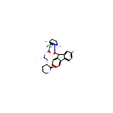 N#C[C@H](C[C@@H]1CCCNC1=O)NC(=O)[C@@H]1[C@@H]2CC[C@@H](CC2(F)F)N1C(=O)[C@]1(O)c2ccccc2-c2ccc(Br)cc21